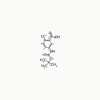 CC(C)(C)OC(=O)Nc1ccc(Cl)c(C(=O)O)c1